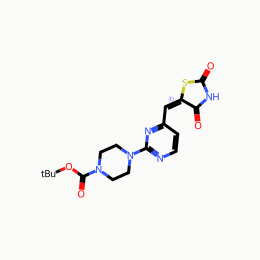 CC(C)(C)OC(=O)N1CCN(c2nccc(/C=C3/SC(=O)NC3=O)n2)CC1